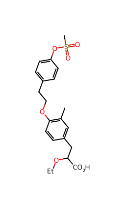 CCOC(Cc1ccc(OCCc2ccc(OS(C)(=O)=O)cc2)c(C)c1)C(=O)O